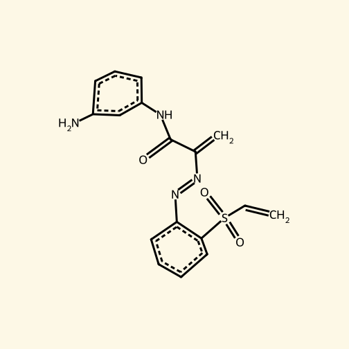 C=CS(=O)(=O)c1ccccc1N=NC(=C)C(=O)Nc1cccc(N)c1